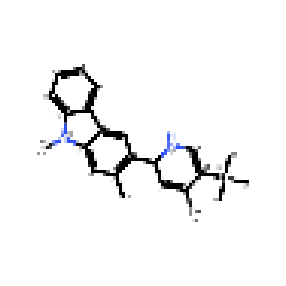 CCC1=CC(c2cc3c4ccccc4n(CC)c3cc2C)NC=C1[Si](C)(C)C